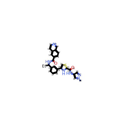 CCC(NC(=O)c1ccc2cnccc2c1)c1cccc(C2=CSC(C(=O)Nc3cnn(C)c3)N2)c1